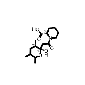 CC1C[C@@H](C)[C@](O)(CC(=O)N2CCCC[C@H]2C(=O)O)OC1C